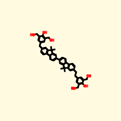 CC1(C)c2cc(CCc3cc(CO)c(O)c(CO)c3)ccc2-c2ccc(-c3ccc4c(c3)C(C)(C)c3cc(Cc5cc(CO)c(O)c(CO)c5)ccc3-4)cc21